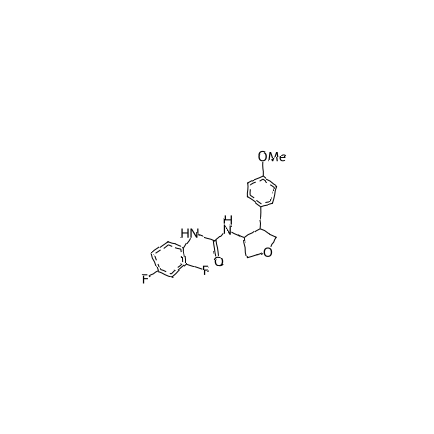 COc1ccc(C2COCC2NC(=O)Nc2ccc(F)cc2F)cc1